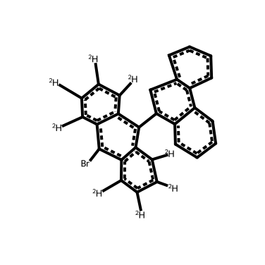 [2H]c1c([2H])c([2H])c2c(-c3cc4ccccc4c4ccccc34)c3c([2H])c([2H])c([2H])c([2H])c3c(Br)c2c1[2H]